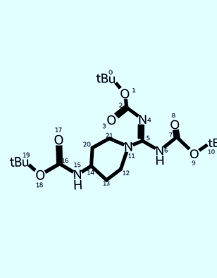 CC(C)(C)OC(=O)/N=C(/NC(=O)OC(C)(C)C)N1CCC(NC(=O)OC(C)(C)C)CC1